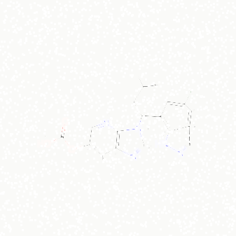 CC(C)CC(c1cc(Cl)cc2cn[nH]c12)n1cnc2cc(OC(=O)O)cnc21